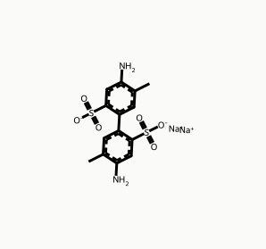 Cc1cc(-c2cc(C)c(N)cc2S(=O)(=O)[O-])c(S(=O)(=O)[O-])cc1N.[Na+].[Na+]